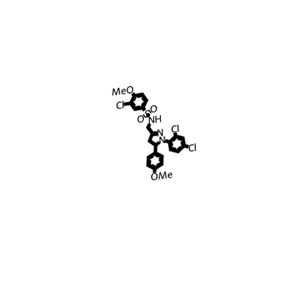 COc1ccc(C2CC(CNS(=O)(=O)c3ccc(OC)c(Cl)c3)=NN2c2ccc(Cl)cc2Cl)cc1